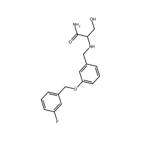 NC(=O)C(CO)NCc1cccc(OCc2cccc(F)c2)c1